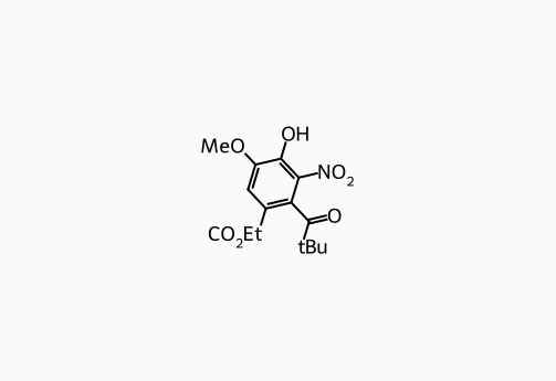 CCOC(=O)c1cc(OC)c(O)c([N+](=O)[O-])c1C(=O)C(C)(C)C